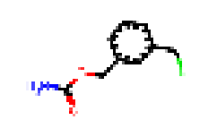 NC(=O)OCc1cccc(CCl)c1